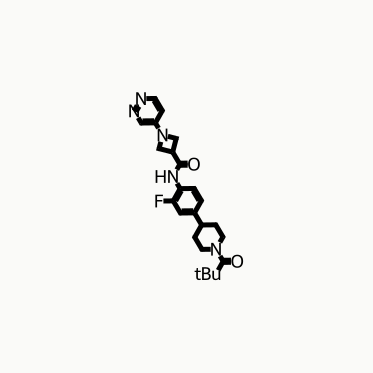 CC(C)(C)C(=O)N1CCC(c2ccc(NC(=O)C3CN(c4ccnnc4)C3)c(F)c2)CC1